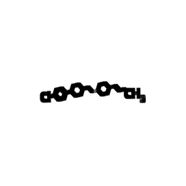 CC/C=C/[C@H]1CC[C@H](CCC2CCC(c3ccc(Cl)cc3)CC2)CC1